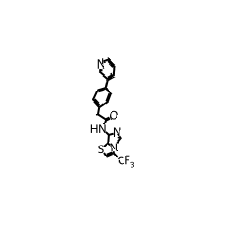 O=C(Cc1ccc(-c2cccnc2)cc1)NC1N=CN2C(C(F)(F)F)=CSC12